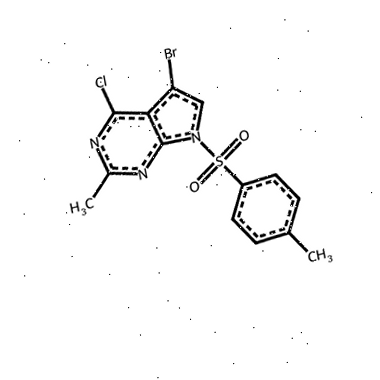 Cc1ccc(S(=O)(=O)n2cc(Br)c3c(Cl)nc(C)nc32)cc1